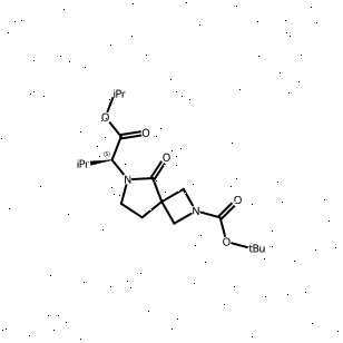 CC(C)OC(=O)[C@H](C(C)C)N1CCC2(CN(C(=O)OC(C)(C)C)C2)C1=O